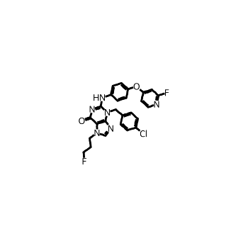 O=c1nc(Nc2ccc(Oc3ccnc(F)c3)cc2)n(Cc2ccc(Cl)cc2)c2ncn(CCCF)c12